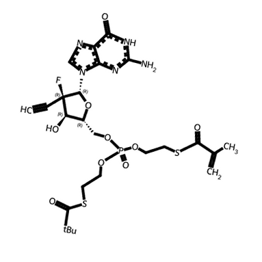 C#C[C@@]1(F)[C@H](O)[C@@H](COP(=O)(OCCSC(=O)C(=C)C)OCCSC(=O)C(C)(C)C)O[C@H]1n1cnc2c(=O)[nH]c(N)nc21